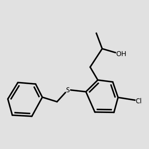 CC(O)Cc1cc(Cl)ccc1SCc1ccccc1